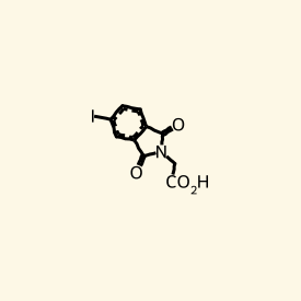 O=C(O)CN1C(=O)c2ccc(I)cc2C1=O